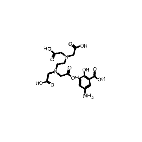 Nc1ccc(O)c(C(=O)O)c1.O=C(O)CN(CCN(CC(=O)O)CC(=O)O)CC(=O)O